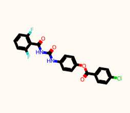 O=C(NC(=O)c1c(F)cccc1F)Nc1ccc(OC(=O)c2ccc(Cl)cc2)cc1